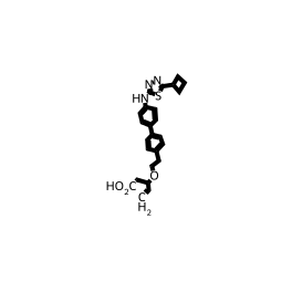 C=CC(CC(=O)O)OCCc1ccc(-c2ccc(Nc3nnc(C4CCC4)s3)cc2)cc1